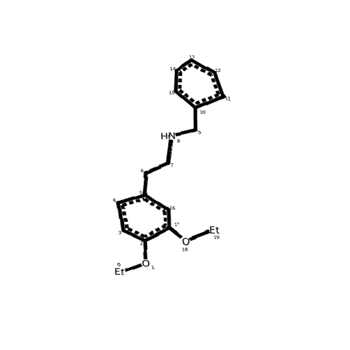 CCOc1ccc(CCNCc2ccccc2)cc1OCC